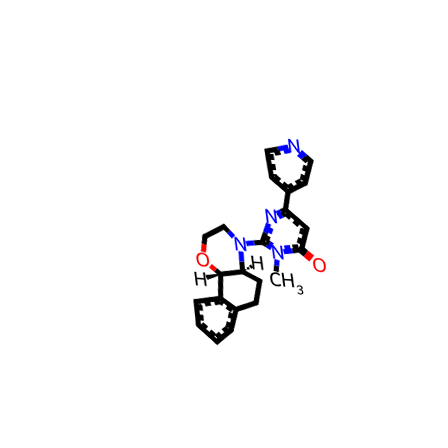 Cn1c(N2CCO[C@H]3c4ccccc4CC[C@@H]32)nc(-c2ccncc2)cc1=O